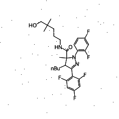 CCCCC1C(c2c(F)cc(F)cc2F)=NN(c2ccc(F)cc2F)C1(C)C(=O)NCCCC(C)(C)CO